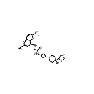 N#Cc1cc(NCC(=O)N[C@H]2C[C@@H](N3CCC(O)(c4cncs4)CC3)C2)c2cc(C(F)(F)F)ccc2n1